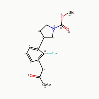 COC(=O)Cc1cccc(C2CCN(C(=O)OC(C)(C)C)C2)c1F